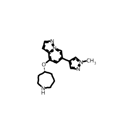 Cn1cc(-c2cc(O[C@@H]3CCCNCC3)c3ccnn3c2)cn1